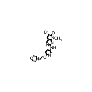 Cn1c(=O)c(Br)cc2cnc(Nc3ccc(OCCN4CCOCC4)nc3)nc21